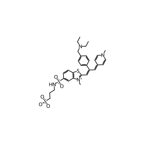 CCN(CC)Cc1ccc(/C(C=C2C=CN(C)C=C2)=C\c2sc3ccc(S(=O)(=O)NCCCS(=O)(=O)[O-])cc3[n+]2C)cc1